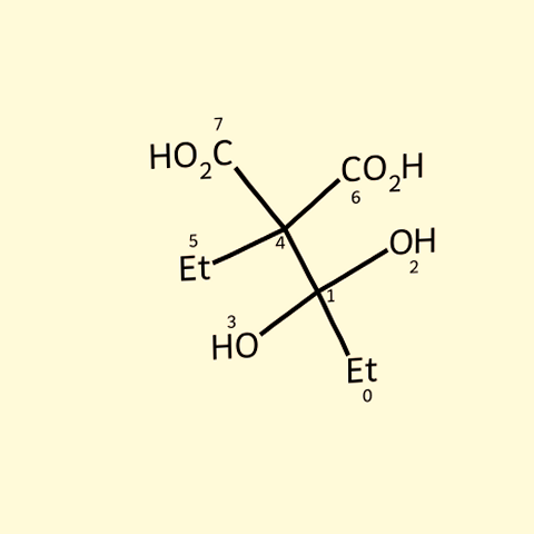 CCC(O)(O)C(CC)(C(=O)O)C(=O)O